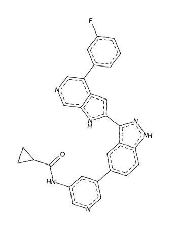 O=C(Nc1cncc(-c2ccc3[nH]nc(-c4cc5c(-c6cccc(F)c6)cncc5[nH]4)c3c2)c1)C1CC1